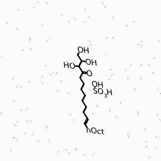 CCCCCCCCC=CCCCCCCCC(=O)C(O)C(O)CO.O=S(=O)(O)O